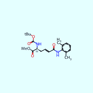 COC(=O)[C@H](CC=CC(=O)Nc1c(C)cccc1C)NC(=O)OC(C)(C)C